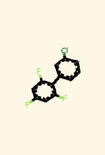 Fc1cc(F)c(-c2cc[c]c(Cl)c2)c(F)c1